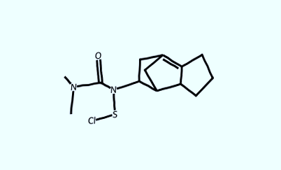 CN(C)C(=O)N(SCl)C1CC2=C3CCCC3C1C2